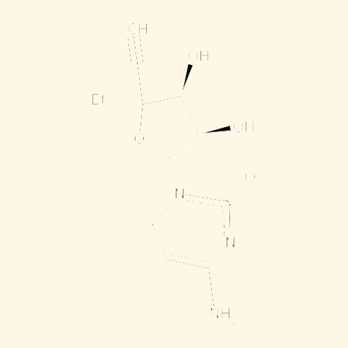 C#C[C@]1(CC)O[C@@H](n2ccc(N)nc2=O)[C@H](O)[C@@H]1O